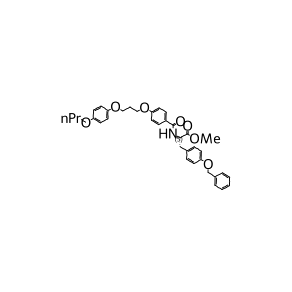 CCCOc1ccc(OCCCOc2ccc(C(=O)N[C@@H](Cc3ccc(OCc4ccccc4)cc3)C(=O)OC)cc2)cc1